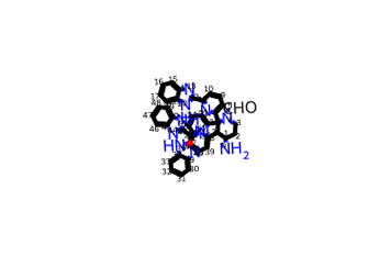 NC1CCN(C=O)C(c2cccc(-c3nc4ccccc4[nH]3)n2)(c2cccc(-c3nc4ccccc4[nH]3)n2)C1c1cccc(-c2nc3ccccc3[nH]2)n1